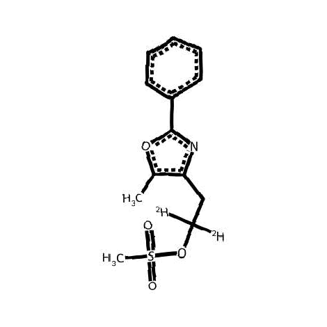 [2H]C([2H])(Cc1nc(-c2ccccc2)oc1C)OS(C)(=O)=O